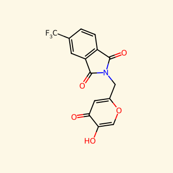 O=C1c2ccc(C(F)(F)F)cc2C(=O)N1Cc1cc(=O)c(O)co1